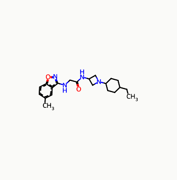 CCC1CCC(N2CC(NC(=O)CNc3noc4ccc(C)cc34)C2)CC1